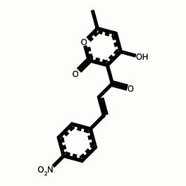 Cc1cc(O)c(C(=O)/C=C/c2ccc([N+](=O)[O-])cc2)c(=O)o1